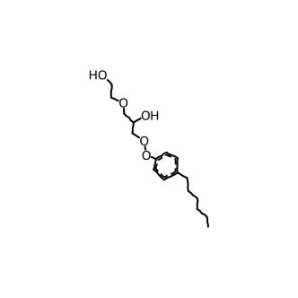 CCCCCCc1ccc(OOCC(O)COCCO)cc1